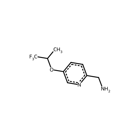 CC(Oc1ccc(CN)nc1)C(F)(F)F